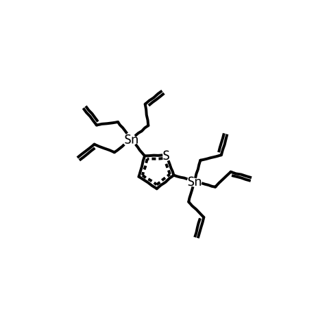 C=C[CH2][Sn]([CH2]C=C)([CH2]C=C)[c]1cc[c]([Sn]([CH2]C=C)([CH2]C=C)[CH2]C=C)s1